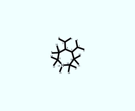 CC(C)C1C(C(C)C)C(C)(C)C(C)(C)N(C)C(C)(C)C1(C)C